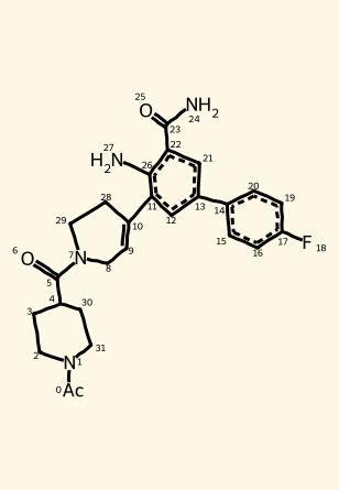 CC(=O)N1CCC(C(=O)N2CC=C(c3cc(-c4ccc(F)cc4)cc(C(N)=O)c3N)CC2)CC1